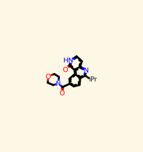 CC(C)c1nc2cc[nH]c(=O)c2c2cc(C(=O)N3CCOCC3)ccc12